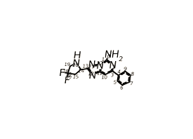 Nc1nc(-c2ccccc2)cc2nc(C3CC(F)(F)CN3)nn12